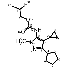 Cn1nc(C2CCCC2)c(C2CC2)c1NC(=O)OCC(F)F